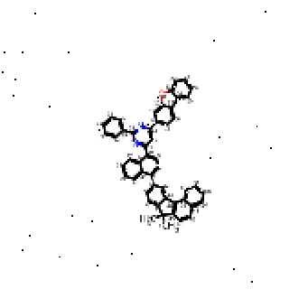 CC1(C)c2ccc(-c3ccc(-c4cc(-c5ccc6c(c5)oc5ccccc56)nc(-c5ccccc5)n4)c4ccccc34)cc2-c2c1ccc1ccccc21